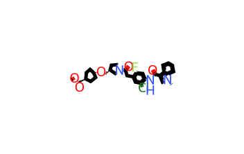 COC(=O)[C@H]1CC[C@H](OC[C@@H]2CCN(C(=O)Cc3cc(Cl)c(NC(=O)c4cn(C)c5ccccc45)cc3F)C2)CC1